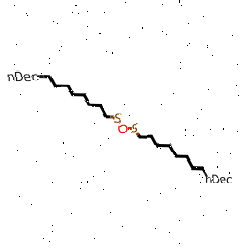 CCCCCCCCCCCCCCCCCCSOSCCCCCCCCCCCCCCCCCC